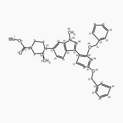 C[C@H]1CN(C(=O)OC(C)(C)C)CCN1c1ccc2c(-c3ccc(OCc4ccccc4)nc3OCc3ccccc3)nn(C)c2c1